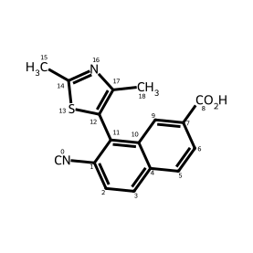 [C-]#[N+]c1ccc2ccc(C(=O)O)cc2c1-c1sc(C)nc1C